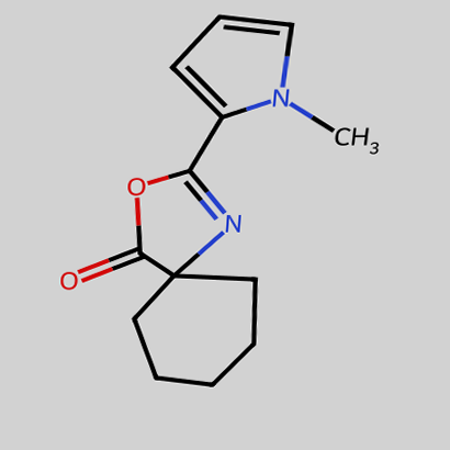 Cn1cccc1C1=NC2(CCCCC2)C(=O)O1